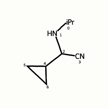 CC(C)NC(C#N)C1CC1